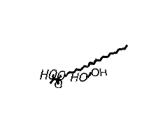 CCCCCCCCCCCCCCCCCCOC(=O)C(C)O.OCCO